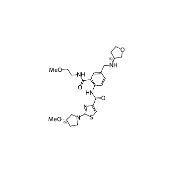 COCCNC(=O)c1cc(CN[C@H]2CCOC2)ccc1NC(=O)c1csc(N2CC[C@H](OC)C2)n1